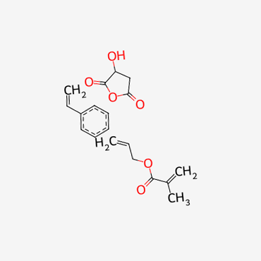 C=CCOC(=O)C(=C)C.C=Cc1ccccc1.O=C1CC(O)C(=O)O1